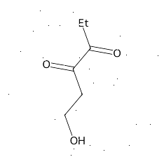 CCC(=O)C(=O)CCO